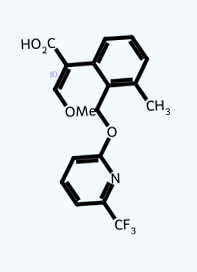 CO/C=C(/C(=O)O)c1cccc(C)c1COc1cccc(C(F)(F)F)n1